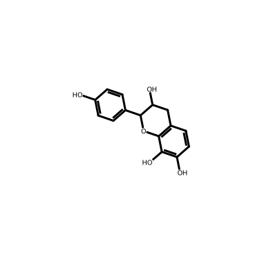 Oc1ccc(C2Oc3c(ccc(O)c3O)CC2O)cc1